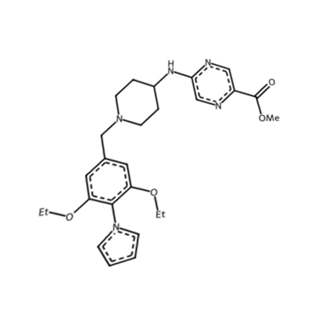 CCOc1cc(CN2CCC(Nc3cnc(C(=O)OC)cn3)CC2)cc(OCC)c1-n1cccc1